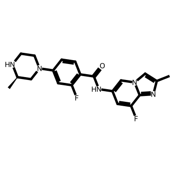 Cc1cn2cc(NC(=O)c3ccc(N4CCN[C@H](C)C4)cc3F)cc(F)c2n1